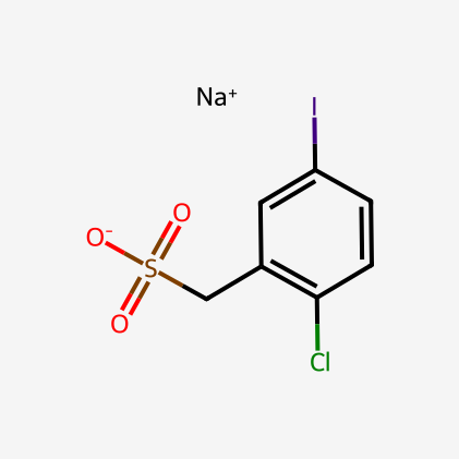 O=S(=O)([O-])Cc1cc(I)ccc1Cl.[Na+]